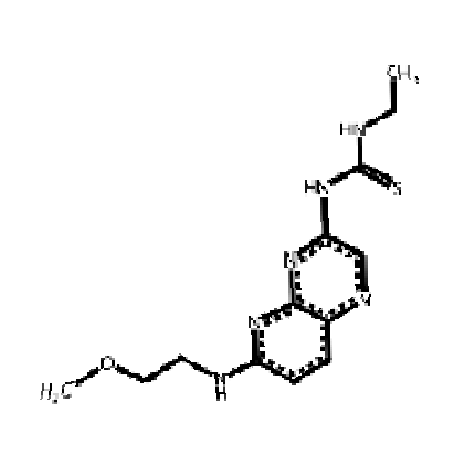 CCNC(=S)Nc1cnc2ccc(NCCOC)nc2n1